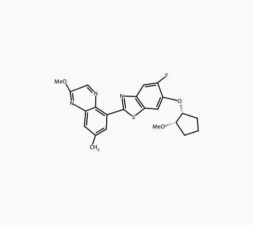 COc1cnc2c(-c3nc4cc(F)c(O[C@@H]5CCC[C@@H]5OC)cc4s3)cc(C)cc2n1